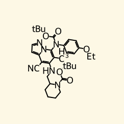 CCOc1ccc(N(C(=O)OC(C)(C)C)c2c(C)c(NCC3CCCCN3C(=O)OC(C)(C)C)c(C#N)c3ccnn23)cc1